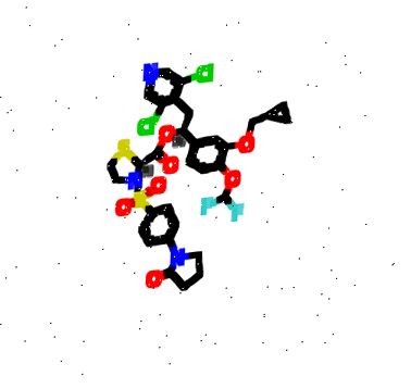 O=C(O[C@@H](Cc1c(Cl)cncc1Cl)c1ccc(OC(F)F)c(OCC2CC2)c1)[C@@H]1SCCN1S(=O)(=O)c1ccc(N2CCCC2=O)cc1